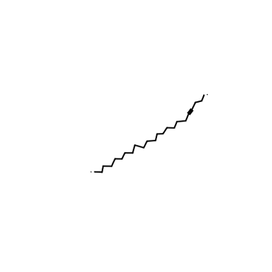 [CH2]CCC#CCCCCCCCCCCCCCCCCC[CH2]